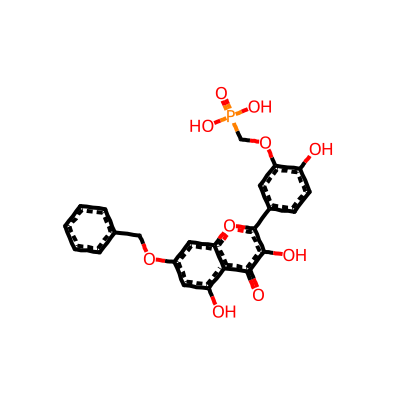 O=c1c(O)c(-c2ccc(O)c(OCP(=O)(O)O)c2)oc2cc(OCc3ccccc3)cc(O)c12